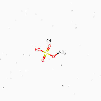 O=[N+]([O-])OS(=O)(=O)O.[Pd]